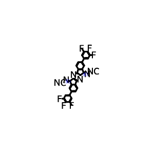 [C-]#[N+]/N=c1\c2cc(-c3cc(F)c(F)c(F)c3)ccc2c2nc3/c(=N/C#N)c4cc(-c5cc(F)c(F)c(F)c5)ccc4c3nc12